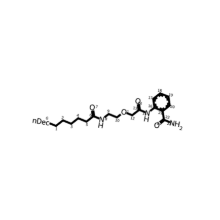 CCCCCCCCCCCCCCCC(=O)NCCOCC(=O)Nc1ccccc1C(N)=O